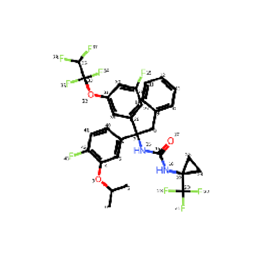 CC(C)Oc1cc(C(Cc2ccccc2)(NC(=O)NC2(C(F)(F)F)CC2)c2cc(F)cc(OC(F)(F)C(F)F)c2)ccc1F